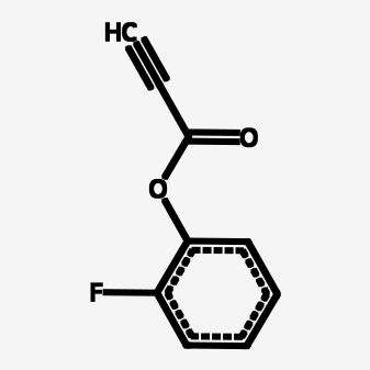 C#CC(=O)Oc1ccccc1F